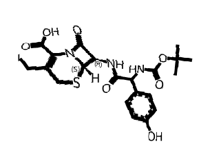 CC(C)(C)OC(=O)NC(C(=O)N[C@@H]1C(=O)N2C(C(=O)O)=C(CI)CS[C@@H]12)c1ccc(O)cc1